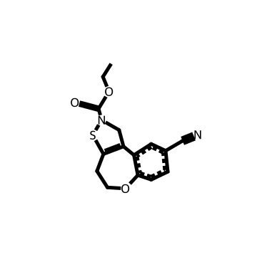 CCOC(=O)N1CC2=C(CCOc3ccc(C#N)cc32)S1